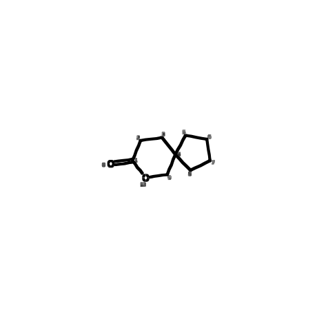 O=C1CCC2(CCCC2)CO1